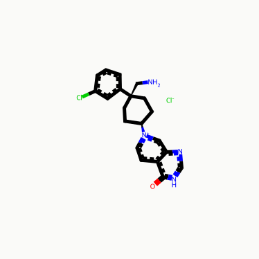 NC[C@]1(c2cccc(Cl)c2)CC[C@H]([n+]2ccc3c(=O)[nH]cnc3c2)CC1.[Cl-]